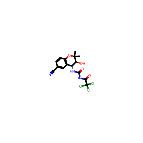 CC1(C)Oc2ccc(C#N)cc2[C@@H](NC(=O)NC(=O)C(Cl)(Cl)Cl)[C@@H]1O